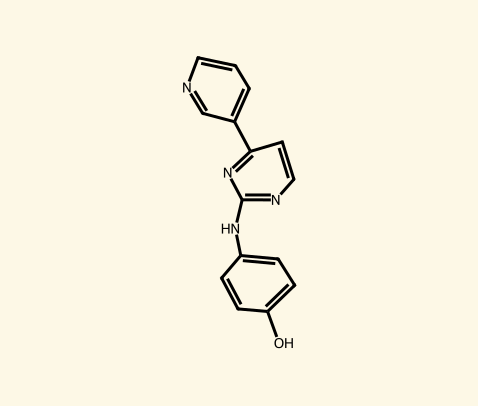 Oc1ccc(Nc2nccc(-c3cccnc3)n2)cc1